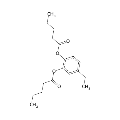 CCCCC(=O)Oc1ccc(CC)cc1OC(=O)CCCC